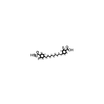 O=C(O)c1ccc(CCCCCCCCCc2ccc(C(=O)OO)c(F)c2)cc1F